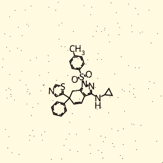 Cc1ccc(S(=O)(=O)n2nc(NC3CC3)c3c2CC(c2ccccc2)(c2cncs2)C=C3)cc1